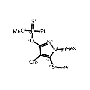 CCCCCCn1nc(OP(=S)(CC)OC)c(Cl)c1SCCC